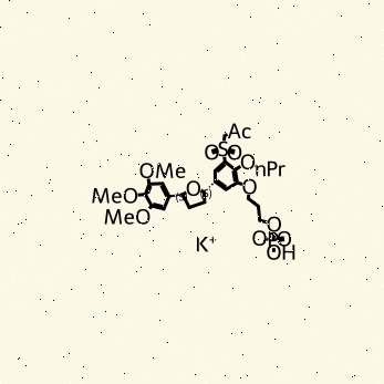 CCCOc1c(OCCCOP(=O)([O-])O)cc([C@@H]2CC[C@@H](c3cc(OC)c(OC)c(OC)c3)O2)cc1S(=O)(=O)CC(C)=O.[K+]